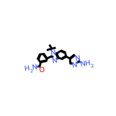 CC(C)(C)n1c(-c2cccc(C(N)=O)c2)nc2cc(-c3cnc(N)nc3)ccc21